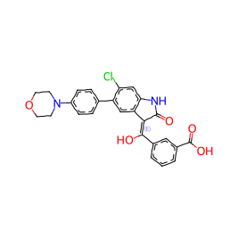 O=C1Nc2cc(Cl)c(-c3ccc(N4CCOCC4)cc3)cc2/C1=C(\O)c1cccc(C(=O)O)c1